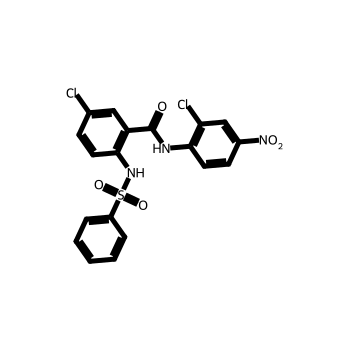 O=C(Nc1ccc([N+](=O)[O-])cc1Cl)c1cc(Cl)ccc1NS(=O)(=O)c1ccccc1